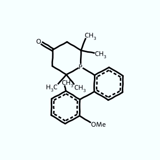 COc1cccc(C)c1-c1ccccc1P1C(C)(C)CC(=O)CC1(C)C